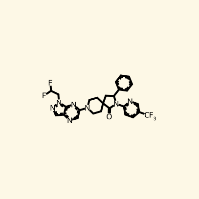 O=C1N(c2ccc(C(F)(F)F)cn2)C(c2ccccc2)CC12CCN(c1cnc3cnn(CC(F)F)c3n1)CC2